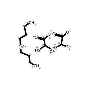 CCC[CH2][Sn+2][CH2]CCC.O=C([O-])C(S)S.O=C([O-])C(S)S